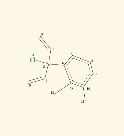 C=C[Si](Cl)(C=C)c1cccc(C)c1C